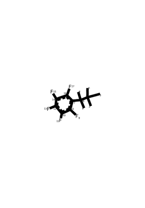 CC(C)(C)C(C)(C)c1c(F)c(F)c(F)c(F)c1F